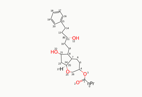 CCCC(=O)OC1CCC2C(CC[C@@H](O)CCc3ccccc3)C(O)C[C@@H]2OC1